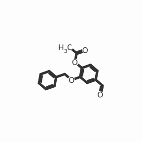 CC(=O)Oc1ccc(C=O)cc1OCc1ccccc1